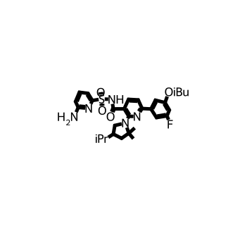 CC(C)COc1cc(F)cc(-c2ccc(C(=O)NS(=O)(=O)c3cccc(N)n3)c(N3CC(C(C)C)CC3(C)C)n2)c1